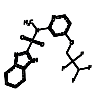 CN(c1cc(OCC(F)(F)C(F)F)ccn1)S(=O)(=O)c1nc2ccccc2[nH]1